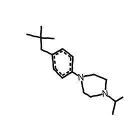 CC(C)N1CCN(c2ccc(CC(C)(C)C)cc2)CC1